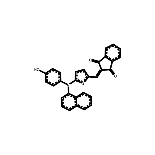 N#Cc1ccc(N(c2ccc(C=C3C(=O)c4ccccc4C3=O)s2)c2cccc3ccccc23)cc1